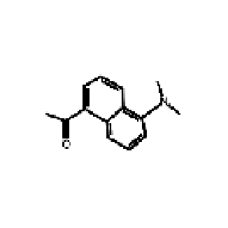 CC(=O)c1cccc2c(N(C)C)cccc12